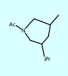 CC(=O)N1CC(C)CC(C(C)C)C1